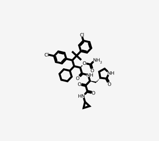 CC(C)(c1cccc(Cl)c1)C(c1ccc(Cl)cc1)C(C1CCCCC1)[C@H](OC(N)=O)C(=O)N[C@@H](C[C@@H]1CCNC1=O)C(=O)C(=O)NC1CC1